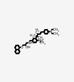 C=C(C=Cc1ccc(N(CC)CC)cc1)C(C)(C)c1cc(CNCC(O)COc2cccc3ccccc23)ccc1NC